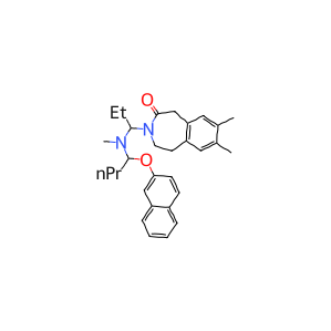 CCCC(Oc1ccc2ccccc2c1)N(C)C(CC)N1CCc2cc(C)c(C)cc2CC1=O